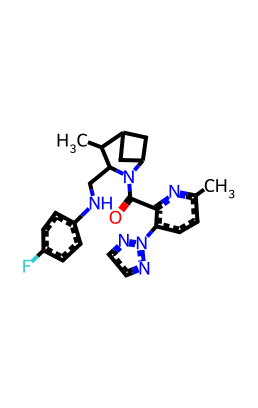 Cc1ccc(-n2nccn2)c(C(=O)N2C3CC(C3)C(C)C2CNc2ccc(F)cc2)n1